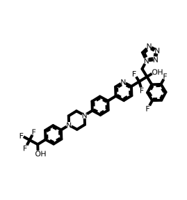 OC(c1ccc(N2CCN(c3ccc(-c4ccc(C(F)(F)C(O)(Cn5cnnn5)c5cc(F)ccc5F)nc4)cc3)CC2)cc1)C(F)(F)F